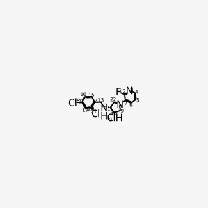 Cl.Fc1ncccc1N1CC[C@H](NCc2ccc(Cl)cc2Cl)C1